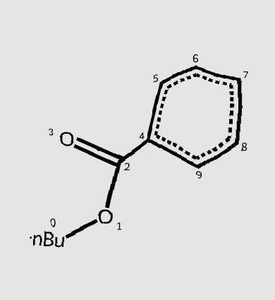 CCC[CH]OC(=O)c1ccccc1